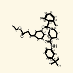 CCOC(=O)CCC1CCC([C@H]2C(C(=O)Nc3cccc(C(C)(C)C)c3)CCCN2C(=O)c2c(C)cccc2F)CC1